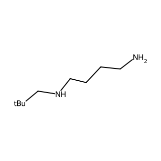 CC(C)(C)CNCCCCN